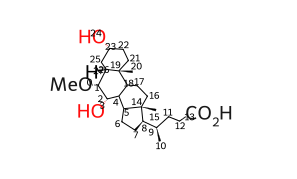 CO[C@H]1[C@@H](O)C2C3CC[C@H]([C@H](C)CCC(=O)O)[C@@]3(C)CCC2[C@@]2(C)CC[C@@H](O)C[C@@H]12